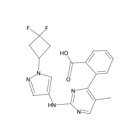 Cc1cnc(Nc2cnn(C3CC(F)(F)C3)c2)nc1-c1ccccc1C(=O)O